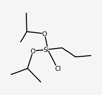 CCC[Si](Cl)(OC(C)C)OC(C)C